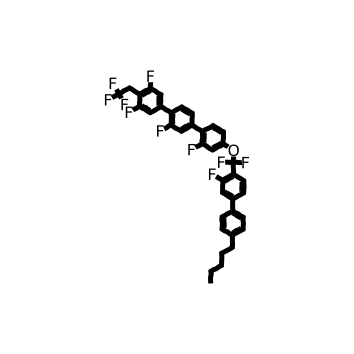 CCCCCc1ccc(-c2ccc(C(F)(F)Oc3ccc(-c4ccc(-c5cc(F)c(CC(F)(F)F)c(F)c5)c(F)c4)c(F)c3)c(F)c2)cc1